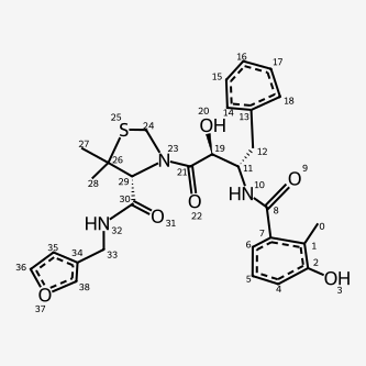 Cc1c(O)cccc1C(=O)N[C@@H](Cc1ccccc1)[C@H](O)C(=O)N1CSC(C)(C)[C@H]1C(=O)NCc1ccoc1